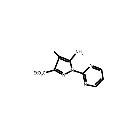 CCOC(=O)c1nn(-c2ncccn2)c(N)c1C